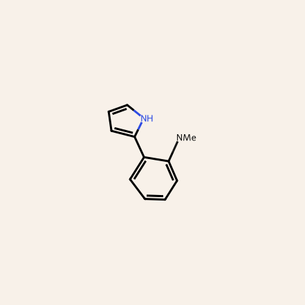 CNc1ccccc1-c1ccc[nH]1